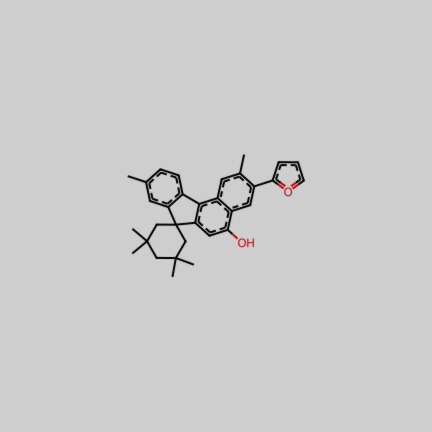 Cc1ccc2c(c1)C1(CC(C)(C)CC(C)(C)C1)c1cc(O)c3cc(-c4ccco4)c(C)cc3c1-2